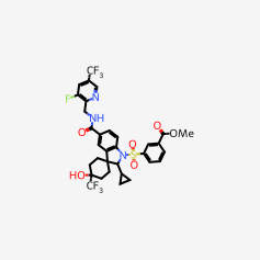 COC(=O)c1cccc(S(=O)(=O)N2c3ccc(C(=O)NCc4ncc(C(F)(F)F)cc4F)cc3C3(CCC(O)(C(F)(F)F)CC3)C2C2CC2)c1